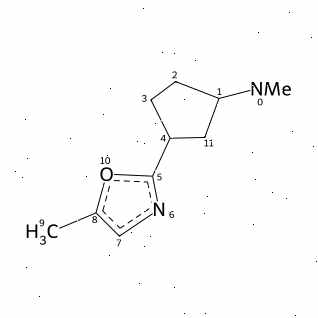 CNC1CCC(c2ncc(C)o2)C1